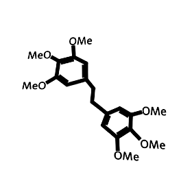 COc1cc(CCc2cc(OC)c(OC)c(OC)c2)cc(OC)c1OC